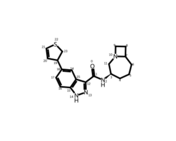 O=C(N[C@@H]1CCCC2CCN2C1)c1n[nH]c2ccc(C3C=CSC3)cc12